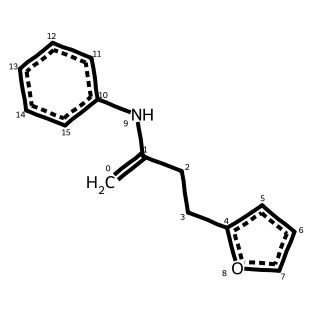 C=C(CCc1ccco1)Nc1ccccc1